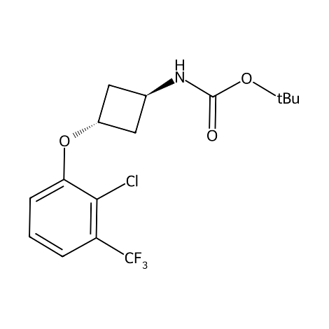 CC(C)(C)OC(=O)N[C@H]1C[C@H](Oc2cccc(C(F)(F)F)c2Cl)C1